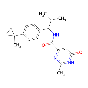 Cc1nc(C(=O)NC(c2ccc(C3(C)CC3)cc2)C(C)C)cc(=O)[nH]1